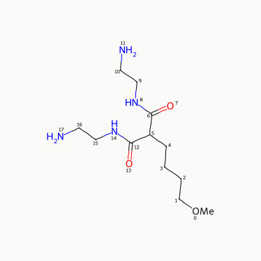 COCCCCC(C(=O)NCCN)C(=O)NCCN